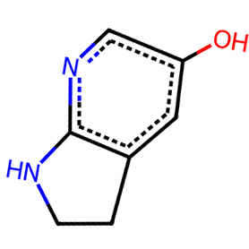 Oc1cnc2c(c1)CCN2